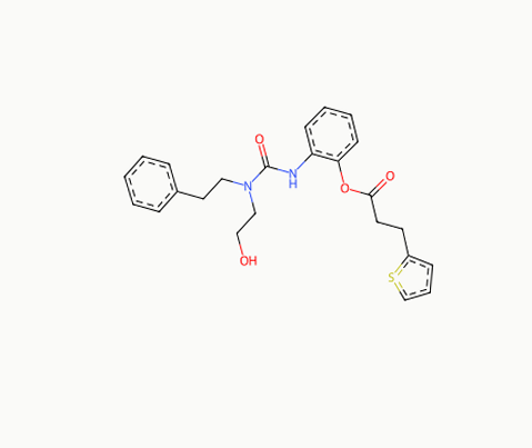 O=C(CCc1cccs1)Oc1ccccc1NC(=O)N(CCO)CCc1ccccc1